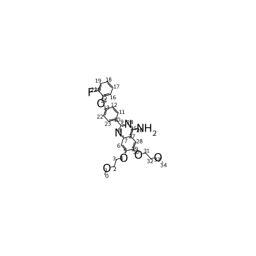 COCCOc1cc2nc(-c3ccc(Oc4ccccc4F)cc3)nc(N)c2cc1OCCOC